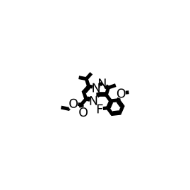 CCOC(=O)c1cc(C(C)C)n2nc(C)c(-c3c(F)cccc3OC)c2n1